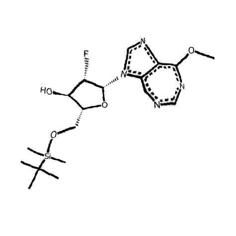 COc1ncnc2c1ncn2[C@@H]1O[C@H](CO[Si](C)(C)C(C)(C)C)[C@@H](O)[C@@H]1F